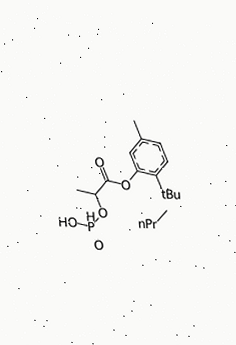 CCCC.Cc1ccc(C(C)(C)C)c(OC(=O)C(C)O[PH](=O)O)c1